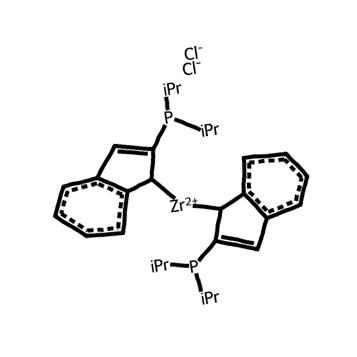 CC(C)P(C1=Cc2ccccc2[CH]1[Zr+2][CH]1C(P(C(C)C)C(C)C)=Cc2ccccc21)C(C)C.[Cl-].[Cl-]